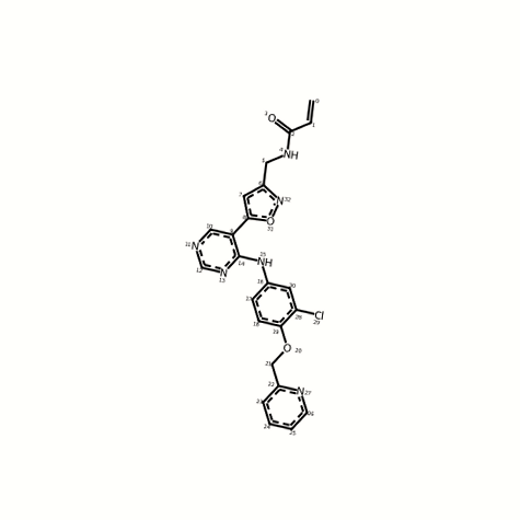 C=CC(=O)NCc1cc(-c2cncnc2Nc2ccc(OCc3ccccn3)c(Cl)c2)on1